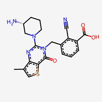 Cc1csc2c(=O)n(Cc3cccc(C(=O)O)c3C#N)c(N3CCC[C@@H](N)C3)nc12